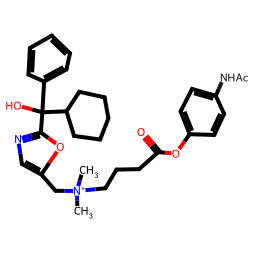 CC(=O)Nc1ccc(OC(=O)CCC[N+](C)(C)Cc2cnc(C(O)(c3ccccc3)C3CCCCC3)o2)cc1